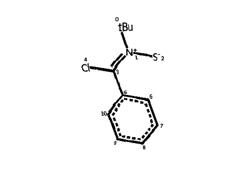 CC(C)(C)[N+]([S-])=C(Cl)c1ccccc1